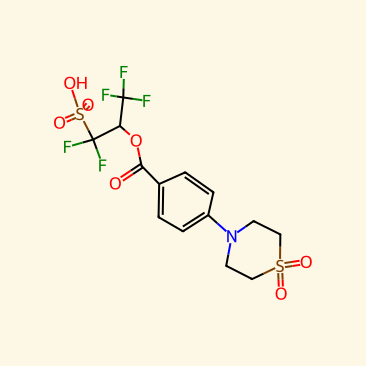 O=C(OC(C(F)(F)F)C(F)(F)S(=O)(=O)O)c1ccc(N2CCS(=O)(=O)CC2)cc1